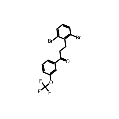 O=C(CCc1c(Br)cccc1Br)c1cccc(OC(F)(F)F)c1